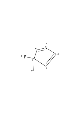 CC1(F)C=CN=C1